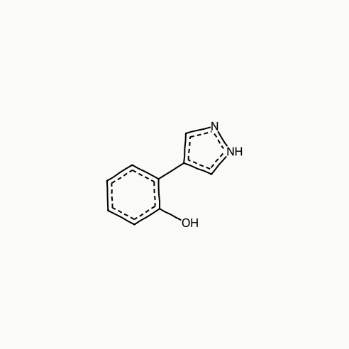 Oc1ccccc1-c1cn[nH]c1